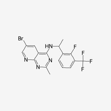 Cc1nc(NC(C)c2cccc(C(F)(F)F)c2F)c2cc(Br)cnc2n1